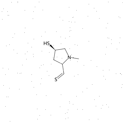 CN1C[C@H](S)CC1C=S